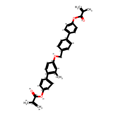 C=C(C)C(=O)Oc1ccc(-c2ccc(COc3ccc(-c4ccc(OC(=O)C(=C)C)cc4)c(C)c3)cc2)cc1